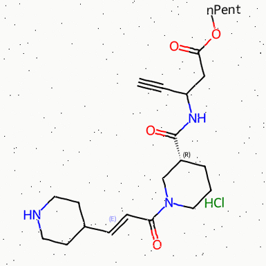 C#CC(CC(=O)OCCCCC)NC(=O)[C@@H]1CCCN(C(=O)/C=C/C2CCNCC2)C1.Cl